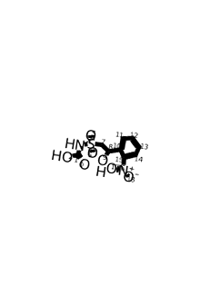 O=C(O)NS(=O)(=O)CC(O)c1ccccc1[N+](=O)[O-]